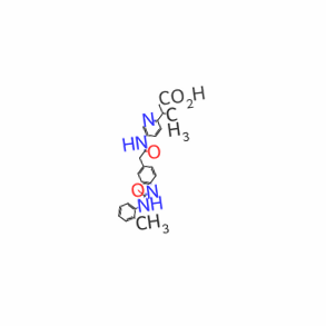 Cc1ccccc1Nc1nc2ccc(CC(=O)Nc3ccc(C(C)CC(=O)O)nc3)cc2o1